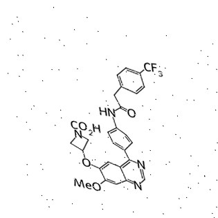 COc1cc2ncnc(-c3ccc(NC(=O)Cc4ccc(C(F)(F)F)cc4)cc3)c2cc1OC1CN(C(=O)O)C1